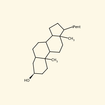 CCCC(C)C1CCC2C3CCC4C[C@H](O)CCC4(C)C3CCC12C